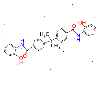 CC(C)(c1ccc(C(=O)Nc2ccccc2O)cc1)c1ccc(C(=O)Nc2ccccc2O)cc1